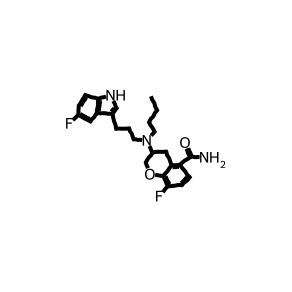 CCCCN(CCCc1c[nH]c2ccc(F)cc12)C1COc2c(F)ccc(C(N)=O)c2C1